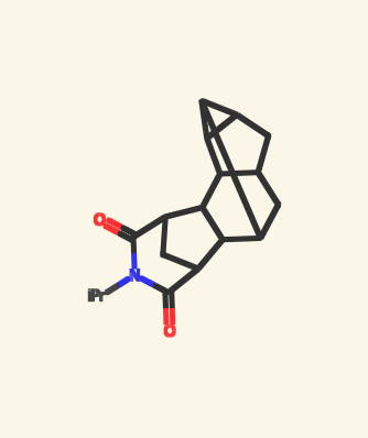 CC(C)N1C(=O)C2CC(C1=O)C1C2C2CC3CC4C2C4C31